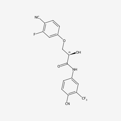 N#Cc1ccc(OC[C@@H](O)C(=O)Nc2ccc(C#N)c(C(F)(F)F)c2)cc1F